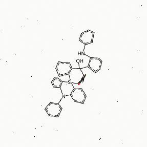 OC1(c2ccccc2Nc2ccccc2)c2ccccc2[Si]2(c3ccccc3N(c3ccccc3)c3ccccc32)c2ccccc21